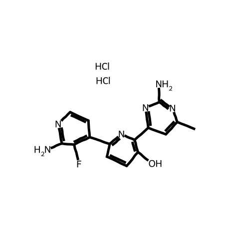 Cc1cc(-c2nc(-c3ccnc(N)c3F)ccc2O)nc(N)n1.Cl.Cl